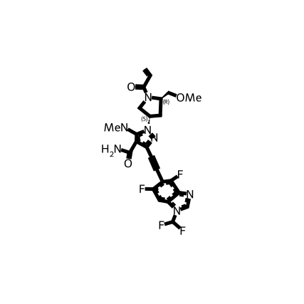 C=CC(=O)N1C[C@@H](n2nc(C#Cc3c(F)cc4c(ncn4C(F)F)c3F)c(C(N)=O)c2NC)C[C@@H]1COC